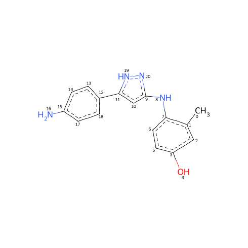 Cc1cc(O)ccc1Nc1cc(-c2ccc(N)cc2)[nH]n1